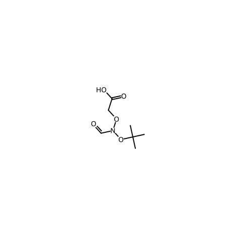 CC(C)(C)ON(C=O)OCC(=O)O